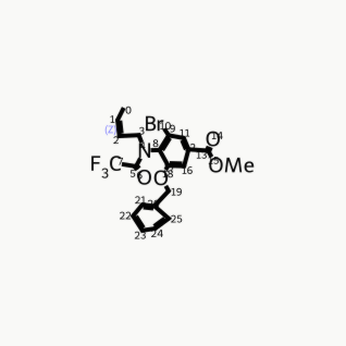 C/C=C\CN(C(=O)C(F)(F)F)c1c(Br)cc(C(=O)OC)cc1OCc1ccccc1